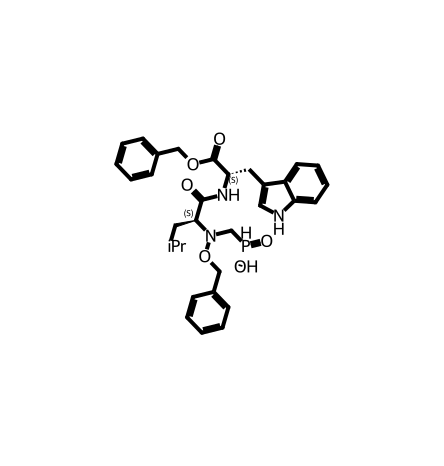 CC(C)C[C@@H](C(=O)N[C@@H](Cc1c[nH]c2ccccc12)C(=O)OCc1ccccc1)N(C[PH](=O)O)OCc1ccccc1